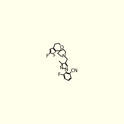 Cc1nn(-c2c(F)cccc2C#N)cc1CN1CCC2(CC1)OCCc1cc(F)sc12